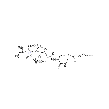 CCCCCCCCCCCOCC(=O)OC1CCC(NC(=O)C(OOC)C(OO)C(OO)C(OO)/C(O)=C(\O)C(C)(CO)OC)C(=O)NC1